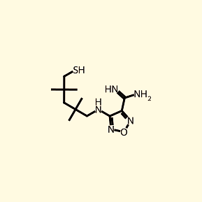 CC(C)(CS)CC(C)(C)CNc1nonc1C(=N)N